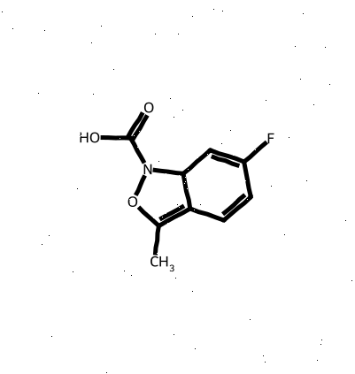 CC1=C2C=CC(F)=CC2N(C(=O)O)O1